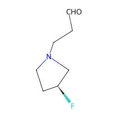 O=CCCN1CC[C@H](F)C1